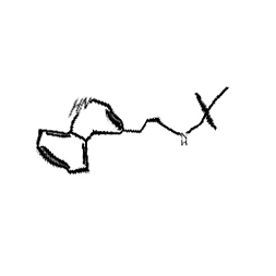 CC(C)(C)NCCc1c[nH]c2ccccc12